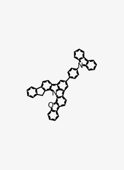 c1ccc2c(c1)Cc1c-2ccc2c3cc(-c4ccc(-n5c6ccccc6c6ccccc65)cc4)cc4c5ccc6c7ccccc7oc6c5n(c12)c34